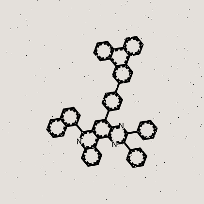 c1ccc(-c2nc3c(-c4ccc(-c5ccc6c7ccccc7c7ccccc7c6c5)cc4)cc4c(-c5cccc6ccccc56)nc5ccccc5c4c3nc2-c2ccccc2)cc1